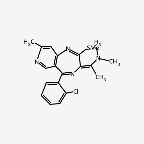 CSC1=Nc2cc(C)ncc2C(c2ccccc2Cl)=NC1=C(C)N(C)C